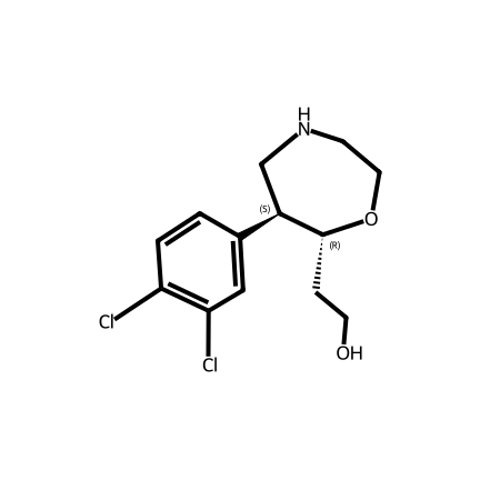 OCC[C@H]1OCCNC[C@@H]1c1ccc(Cl)c(Cl)c1